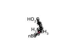 CCCCOCCOc1cc(C)c(-c2cccc(COc3ccc(CCC(=O)O)cc3)c2)c(C)c1